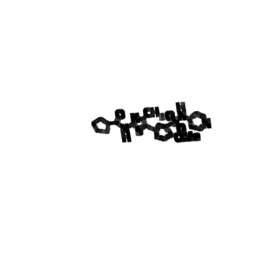 COc1ccc(-c2sc(NC(=O)C3CCCC3)nc2C)cc1S(=O)(=O)Nc1ccncc1